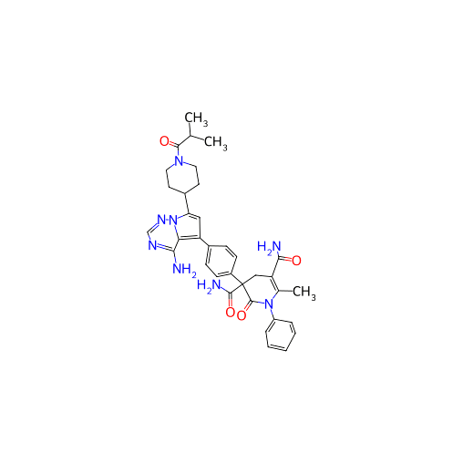 CC1=C(C(N)=O)CC(C(N)=O)(c2ccc(-c3cc(C4CCN(C(=O)C(C)C)CC4)n4ncnc(N)c34)cc2)C(=O)N1c1ccccc1